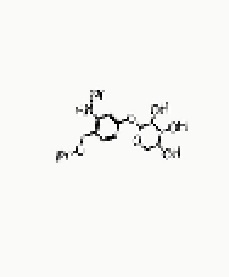 CC(C)Nc1cc(OC2OCC(O)C(O)C2O)ccc1COC(C)C